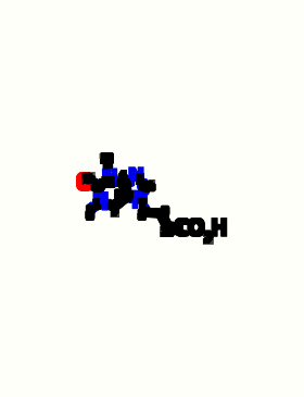 CN1Cc2c(ncn2CCCC(=O)O)N(C)C1=O